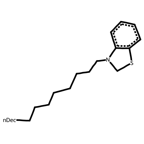 CCCCCCCCCCCCCCCCCCN1CSc2ccccc21